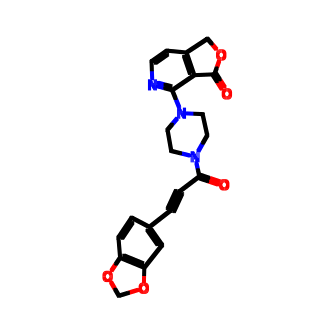 O=C1OCc2ccnc(N3CCN(C(=O)C#Cc4ccc5c(c4)OCO5)CC3)c21